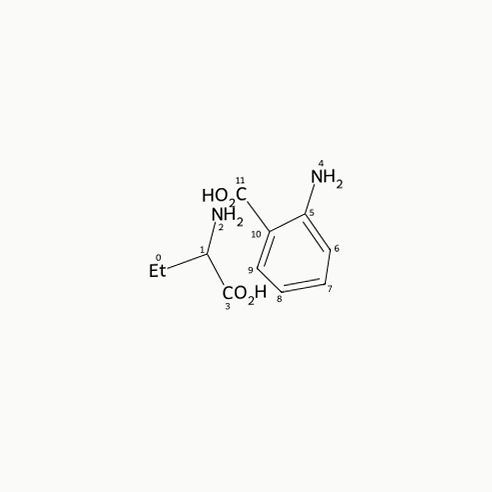 CCC(N)C(=O)O.Nc1ccccc1C(=O)O